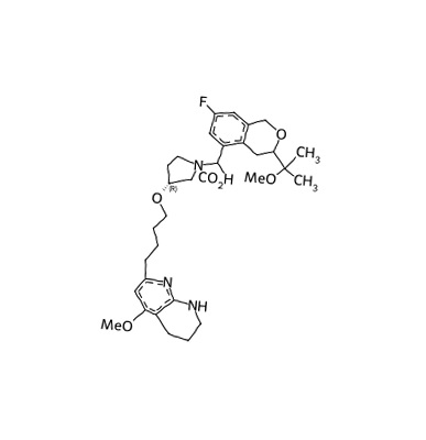 COc1cc(CCCCO[C@@H]2CCN(C(C(=O)O)c3cc(F)cc4c3CC(C(C)(C)OC)OC4)C2)nc2c1CCCN2